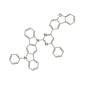 c1ccc(-c2cc(-c3ccc4oc5ccccc5c4c3)nc(-n3c4ccccc4c4cc5c(cc43)c3ccccc3n5-c3ccccc3)n2)cc1